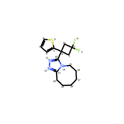 FC1(F)CC(c2cccs2)(c2nnc3n2CCCCCC3)C1